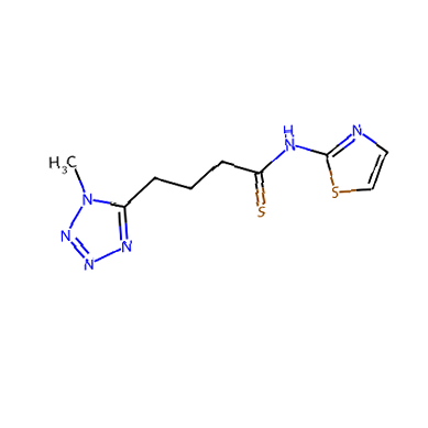 Cn1nnnc1CCCC(=S)Nc1nccs1